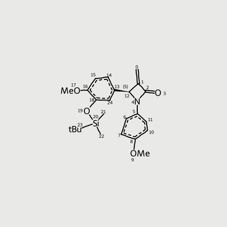 C=C1C(=O)N(c2ccc(OC)cc2)[C@H]1c1ccc(OC)c(O[Si](C)(C)C(C)(C)C)c1